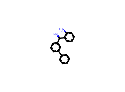 N=C(c1cccc(-c2ccccc2)c1)c1ccccc1N